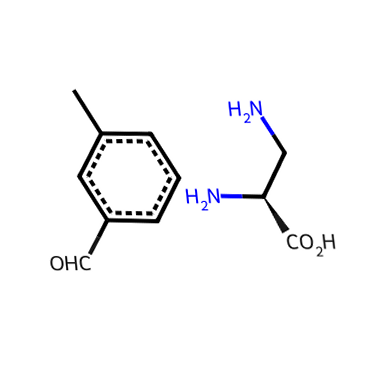 Cc1cccc(C=O)c1.NC[C@H](N)C(=O)O